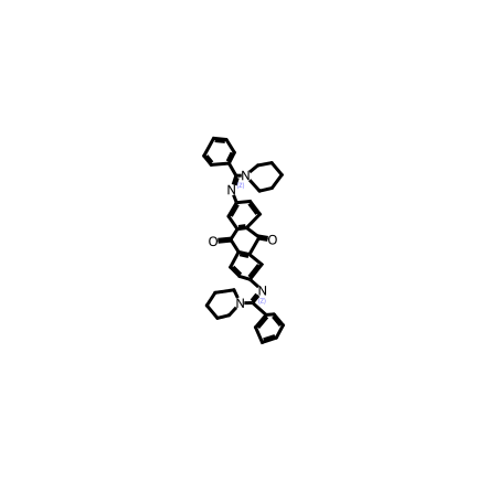 O=C1c2ccc(/N=C(/c3ccccc3)N3CCCCC3)cc2C(=O)c2ccc(/N=C(/c3ccccc3)N3CCCCC3)cc21